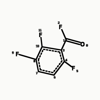 O=C(F)c1c(F)ccc(F)c1F